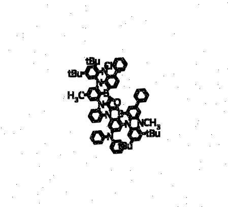 Cc1cc2c3c(c1)N1c4ccccc4N4c5cc(N(c6ccccc6)c6ccccc6)cc6c5B(c5cc(-c7ccccc7)cc7c5N6c5cc(C(C)(C)C)cc(C(C)(C)C)c5N7C)c5oc(c1c54)B3c1ccc(-c3ccccc3)c3c1N2c1cc(C(C)(C)C)cc(C(C)(C)C)c1N3C